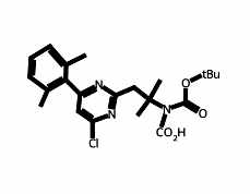 Cc1cccc(C)c1-c1cc(Cl)nc(CC(C)(C)N(C(=O)O)C(=O)OC(C)(C)C)n1